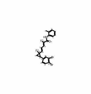 Cc1ccccc1NC(=O)/C(F)=C/C=C/C1(F)CC1c1ccc(Br)c(Br)c1